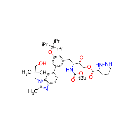 Cc1nc2ccc(-c3cc(CC(NC(=O)OC(C)(C)C)C(=O)COC(=O)C4CCCNN4)cc(O[Si](C(C)C)(C(C)C)C(C)C)c3)cc2n1CC(C)(C)CO